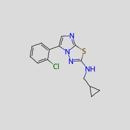 Clc1ccccc1-c1cnc2sc(NCC3CC3)nn12